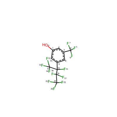 Oc1[c]c(C(F)(F)F)cc(C(F)(C(F)(F)F)C(F)(F)C(F)(F)F)c1